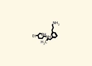 C=C(Cc1cccc(CCCN)c1)NC1BCC(CC)CC1